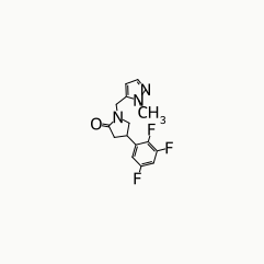 Cn1nccc1CN1CC(c2cc(F)cc(F)c2F)CC1=O